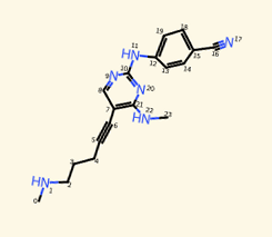 CNCCCC#Cc1cnc(Nc2ccc(C#N)cc2)nc1NC